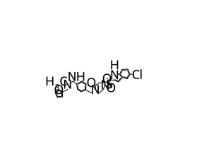 CN(Cc1ccco1)C(=N)c1ccc(CN2CCN(S(=O)(=O)c3cc4cc(Cl)ccc4[nH]3)CC2=O)cc1